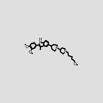 COCCCCCN1CCC(N2CCC(c3ccc4[nH]c(-c5ccc(OC)c(OC)c5)c(C)c4c3)CC2)CC1